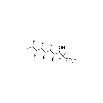 O=C(O)C(F)(F)C(O)C(F)C(F)C(F)C(F)C(F)C(F)F